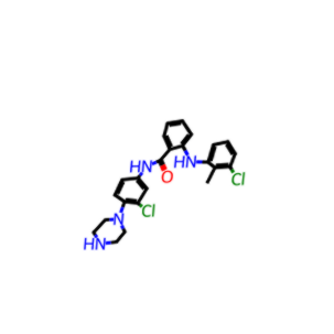 Cc1c(Cl)cccc1Nc1ccccc1C(=O)Nc1ccc(N2CCNCC2)c(Cl)c1